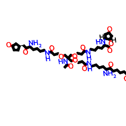 CC(=O)NC(COCCC(=O)NCCCCC(N)C(=O)CCCCC(=O)ON)(COCCC(=O)NCCCCC(N)C(=O)C[C@@H]1CCC(=O)C1)COCCC(=O)NCCCCC1N[C@H]2CC(=O)C[C@H]2OC1=O